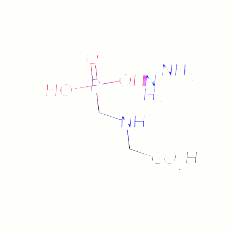 N.N.O=C(O)CNCP(=O)(O)O